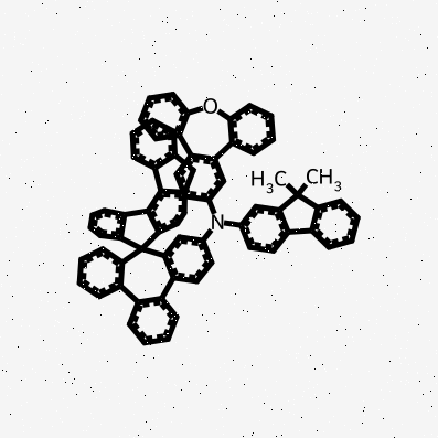 CC1(C)c2ccccc2-c2ccc(N(c3ccc4c(c3)-c3ccccc3Oc3ccccc3-4)c3ccc4c(c3)C3(c5ccccc5-c5ccccc5-4)c4ccccc4-c4c3ccc3c4-c4ccccc4C3)cc21